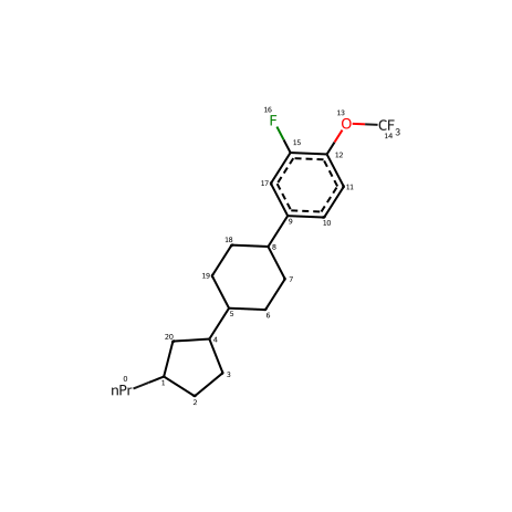 CCCC1CCC(C2CCC(c3ccc(OC(F)(F)F)c(F)c3)CC2)C1